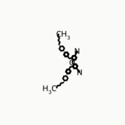 CCCCCC[C@H]1CC[C@H](c2ccc(Cc3cc(C#N)ccc3Oc3ccc(C#N)cc3Cc3ccc([C@H]4CC[C@H](CCCCCC)CC4)cc3)cc2)CC1